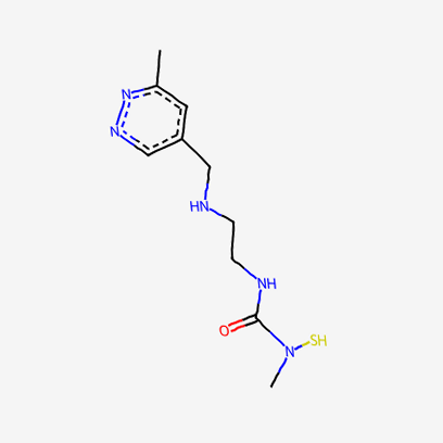 Cc1cc(CNCCNC(=O)N(C)S)cnn1